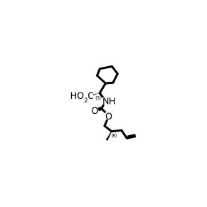 C=CC[C@@H](C)COC(=O)N[C@H](C(=O)O)C1CCCCC1